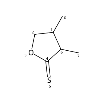 CC1COC(=S)C1C